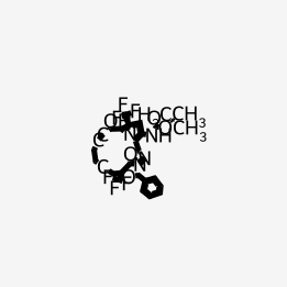 CC(C)(C)OC(=O)Nc1cc(C(F)(F)F)c2nc1-c1nnc(o1)C(OCc1ccccc1)(C(F)(F)F)CCCCCCC2O